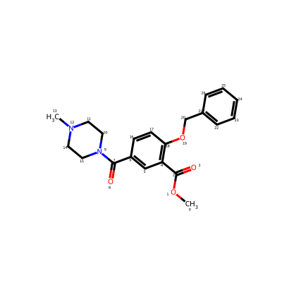 COC(=O)c1cc(C(=O)N2CCN(C)CC2)ccc1OCc1ccccc1